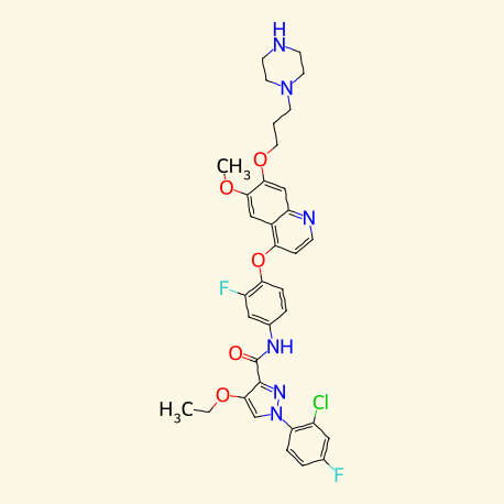 CCOc1cn(-c2ccc(F)cc2Cl)nc1C(=O)Nc1ccc(Oc2ccnc3cc(OCCCN4CCNCC4)c(OC)cc23)c(F)c1